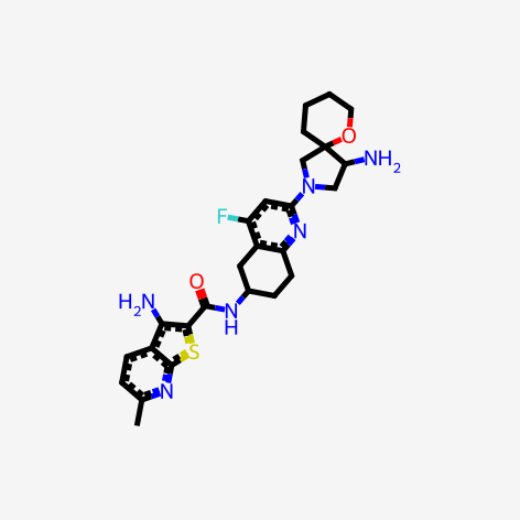 Cc1ccc2c(N)c(C(=O)NC3CCc4nc(N5CC(N)C6(CCCCO6)C5)cc(F)c4C3)sc2n1